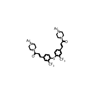 CC(=O)N1CCN(C(=O)C=Cc2ccc(Sc3ccc(C=CC(=O)N4CCN(C(C)=O)CC4)cc3C(F)(F)F)c(C(F)(F)F)c2)CC1